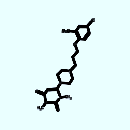 COc1cc(Cl)ccc1OCCCN1CCN(c2cc(=O)n(C)c(=O)n2C)CC1